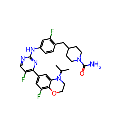 CC(C)N1CCOc2c(F)cc(-c3nc(Nc4ccc(CC5CCN(C(N)=O)CC5)c(F)c4)ncc3F)cc21